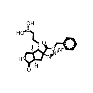 [N-]=[N+]=N[C@@]1(C(=O)OCc2ccccc2)C[C@H]2C(=O)NC[C@H]2[C@@H]1CCCB(O)O